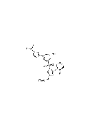 CNCc1cc(-c2ccccc2F)n(S(=O)(=O)c2cccc(-c3cnn(C(F)F)c3)c2)c1.Cl